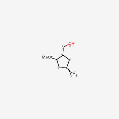 COC1C[C@H](C)C[C@H]1CO